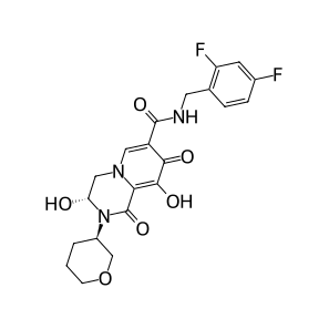 O=C(NCc1ccc(F)cc1F)c1cn2c(c(O)c1=O)C(=O)N([C@@H]1CCCOC1)[C@H](O)C2